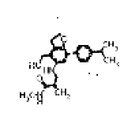 C=C(CNc1cc(-c2ccc(C(C)C)cc2)c2c(c1CO)CCO2)C(=O)NC